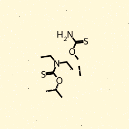 CC.CCN(CC)C(=S)OC(C)C.COC(N)=S